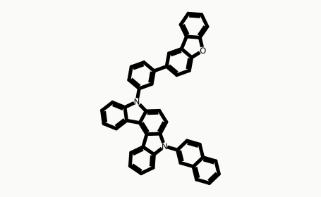 c1cc(-c2ccc3oc4ccccc4c3c2)cc(-n2c3ccccc3c3c4c5ccccc5n(-c5ccc6ccccc6c5)c4ccc32)c1